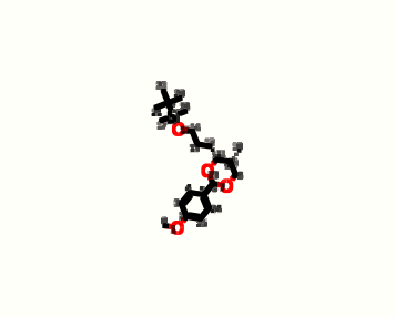 COc1ccc(C2OC[C@@H](C)[C@@H](CCCO[Si](C)(C)C(C)(C)C)O2)cc1